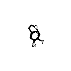 Fc1cc2c(cc1Br)CCO2